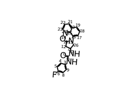 O=C(Nc1ccc(F)cc1)NC1CC(=O)N(c2cccc3cccnc23)C1